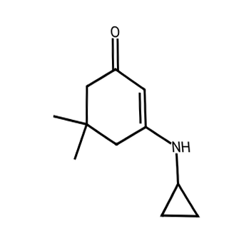 CC1(C)CC(=O)C=C(NC2CC2)C1